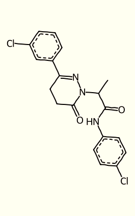 CC(C(=O)Nc1ccc(Cl)cc1)N1N=C(c2cccc(Cl)c2)CCC1=O